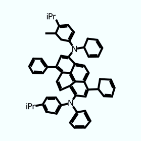 CC(C)C1=CC=C(N(c2cc(-c3ccccc3)c3ccc4c(N(c5ccccc5)c5ccc(C(C)C)cc5)cc(C5C=CC=CC5)c5ccc2c3c54)C2C=CC=CC2)CC1C